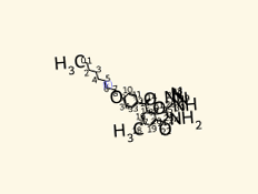 CCCCC/C=C/COc1ccc(C(=O)c2cc(C)cc3c(=O)c(N)c(-c4nnn[nH]4)oc23)cc1